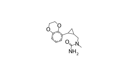 CN(CC1CC1c1cccc2c1OCCO2)C(N)=O